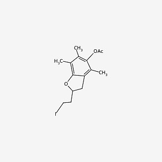 CC(=O)Oc1c(C)c(C)c2c(c1C)CC(CCI)O2